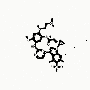 C=CC(=O)Nc1cc(Nc2nccc(-c3cn(C4CC4)c4cc(C)c(S(C)(=O)=O)c(C)c34)n2)c(OC)cc1N(C)CCN(C)C